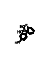 CCCc1ccc(C2(B(O)O)C=CC=CC2F)cc1